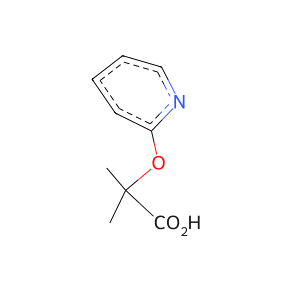 CC(C)(Oc1ccccn1)C(=O)O